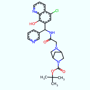 CC(C)(C)OC(=O)N1CC2CC1CN2CC(=O)NC(c1cccnc1)c1cc(Cl)c2cccnc2c1O